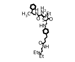 CCN(CC)CCNC(=O)CCCc1ccc(NC[C@H]2S/C(=C(/N)C(=O)NCC(C)c3ccccc3)N(CC)C2=O)cc1